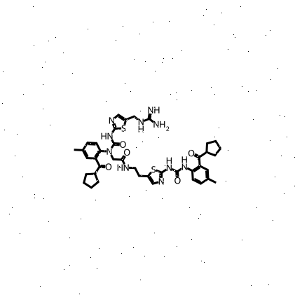 Cc1ccc(NC(=O)Nc2ncc(CCNC(=O)CN(C(=O)Nc3ncc(CNC(=N)N)s3)c3ccc(C)cc3C(=O)C3CCCC3)s2)c(C(=O)C2CCCC2)c1